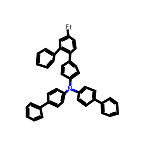 CCc1ccc(-c2ccc(N(c3ccc(-c4ccccc4)cc3)c3ccc(-c4ccccc4)cc3)cc2)c(-c2ccccc2)c1